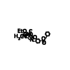 CCOC(=O)CNC(=O)N(CCCN(C)C)Cc1ccc(C(=O)OCc2ccccc2)cc1